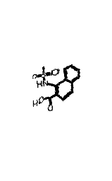 CS(=O)(=O)Nc1c(C(=O)O)ccc2ccccc12